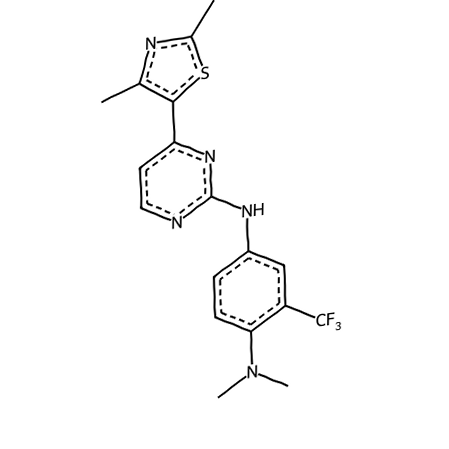 Cc1nc(C)c(-c2ccnc(Nc3ccc(N(C)C)c(C(F)(F)F)c3)n2)s1